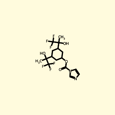 CC(O)(C1CC(OC(=O)n2ccnc2)CC(C(C)(O)C(F)(F)F)C1)C(F)(F)F